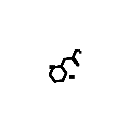 Cl.NC(=O)CC1CCCCN1